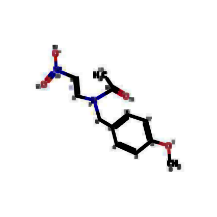 COc1ccc(CN(/C=C/[N+](=O)[O-])C(C)=O)cc1